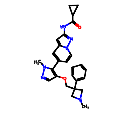 CN1CC(COc2cnn(C)c2-c2ccn3nc(NC(=O)C4CC4)cc3c2)(c2ccccc2)C1